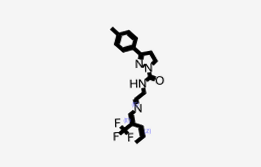 C\C=C/C(=C\N=C\CNC(=O)N1CCC(c2ccc(C)cc2)=N1)C(F)(F)F